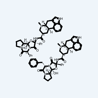 CC(C)[C@@]1(NC(=O)[C@@H]2C[C@@H]3c4cccc5[nH]cc(c45)C[C@H]3N(C)C2)O[C@@]2(O)[C@@H]3CCCN3C(=O)[C@H](Cc3ccccc3)N2C1=O.CC(C)[C@H]1C(=O)N2CCC[C@H]2[C@]2(O)O[C@](NC(=O)[C@@H]3C[C@@H]4c5cccc6[nH]cc(c56)C[C@H]4N(C)C3)(C(C)C)C(=O)N12